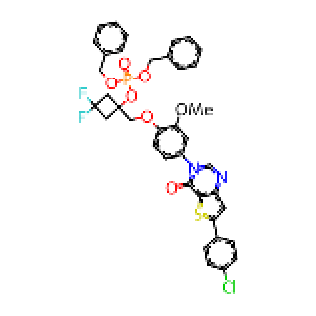 COc1cc(-n2cnc3cc(-c4ccc(Cl)cc4)sc3c2=O)ccc1OCC1(OP(=O)(OCc2ccccc2)OCc2ccccc2)CC(F)(F)C1